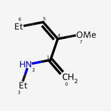 C=C(NCC)/C(=C\CC)OC